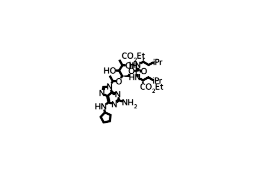 CCOC(=O)[C@H](CC(C)C)NP(=O)(N[C@@H](CC(C)C)C(=O)OCC)OC[C@@H](OC(C)n1cnc2c(NC3CCCC3)nc(N)nc21)C(O)C(C)O